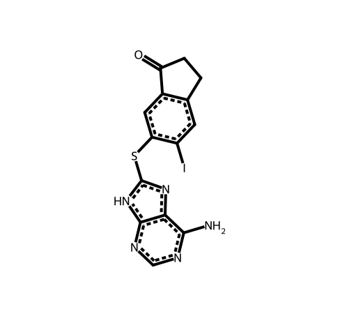 Nc1ncnc2[nH]c(Sc3cc4c(cc3I)CCC4=O)nc12